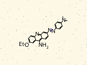 CCOc1ccc2nc3cc(/N=N/c4ccc(N(C)C)cc4)ccc3c(N)c2c1